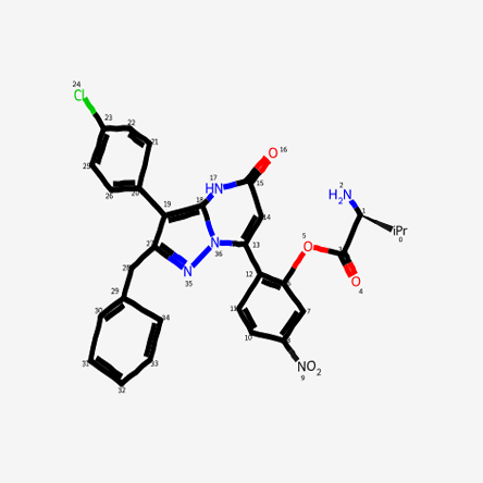 CC(C)[C@H](N)C(=O)Oc1cc([N+](=O)[O-])ccc1-c1cc(=O)[nH]c2c(-c3ccc(Cl)cc3)c(Cc3ccccc3)nn12